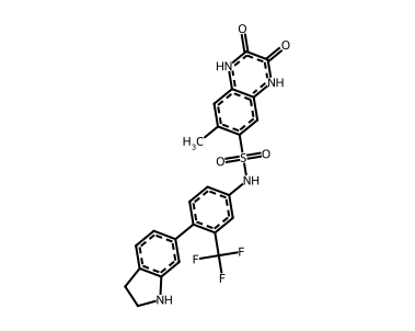 Cc1cc2[nH]c(=O)c(=O)[nH]c2cc1S(=O)(=O)Nc1ccc(-c2ccc3c(c2)NCC3)c(C(F)(F)F)c1